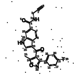 C#CCNC(=O)c1ccc2c(C(=O)c3c(-c4ccc(F)cc4)noc3C)c[nH]c2c1